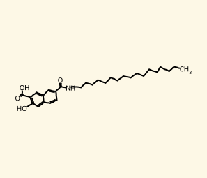 CCCCCCCCCCCCCCCCCCNC(=O)c1ccc2cc(O)c(C(=O)O)cc2c1